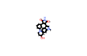 Cn1cc(C2=C(c3cccc(N4CCC(O)CC4)c3)C(=O)NC2=O)c2ccccc21